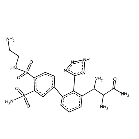 NCCNS(=O)(=O)c1ccc(-c2cccc(C(N)C(N)C(N)=O)c2-c2nn[nH]n2)cc1S(N)(=O)=O